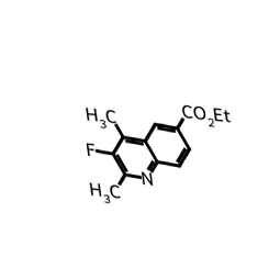 CCOC(=O)c1ccc2nc(C)c(F)c(C)c2c1